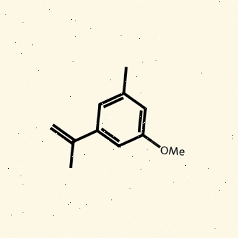 C=C(C)c1cc(C)cc(OC)c1